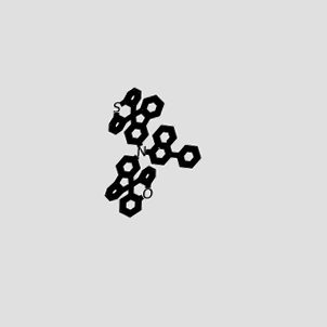 c1ccc(-c2ccc(N(c3ccc4c(c3)-c3ccccc3C43c4ccccc4Sc4ccccc43)c3ccc4c(c3)C3(c5ccccc5Oc5ccccc53)c3ccccc3-4)c3ccccc23)cc1